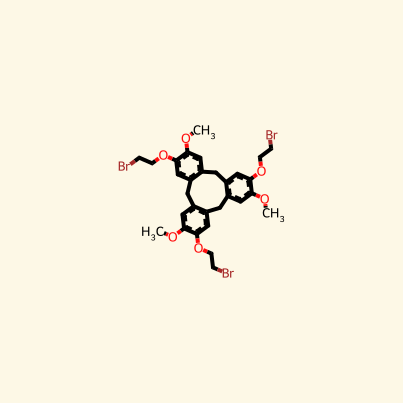 COc1cc2c(cc1OCCBr)Cc1cc(OC)c(OCCBr)cc1Cc1cc(OC)c(OCCBr)cc1C2